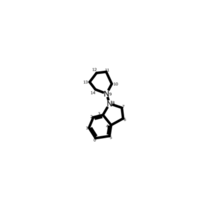 c1ccc2c(c1)CCN2N1CCCCC1